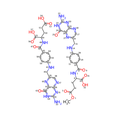 COC(=O)CCC(NC(=O)c1ccc(NCc2cnc3nc(N)[nH]c(=O)c3n2)cc1)C(=O)O.Nc1nc2ncc(CNc3ccc(C(=O)NC(CCC(=O)O)C(=O)O)cc3)nc2c(=O)[nH]1